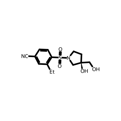 CCc1cc(C#N)ccc1S(=O)(=O)N1CC[C@](O)(CO)C1